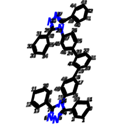 c1ccc(-c2nnc(-c3ccccc3)n2-c2ccc(-c3cccc(-c4ccc(-n5c(-c6ccccc6)nnc5-c5ccccc5)cc4)c3)cc2)cc1